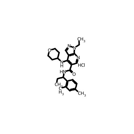 CCC(NC(=O)c1cnc2c(cnn2CC)c1NC1CCOCC1)c1ccc(C)cc1C.Cl